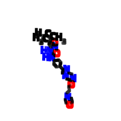 CC(C)(C)c1cc(NC(=O)Nc2ccc(-c3cn4cc(OCCCN5CCOCC5)ncc4n3)cc2)no1